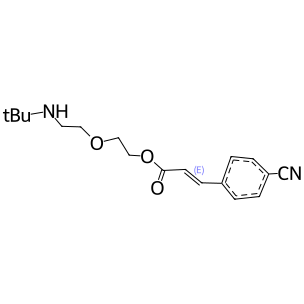 CC(C)(C)NCCOCCOC(=O)/C=C/c1ccc(C#N)cc1